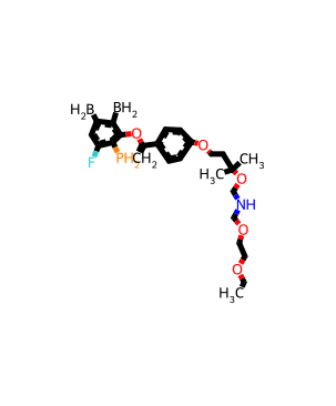 Bc1cc(F)c(P)c(OC(=C)c2ccc(OCCC(C)(C)OCNCOCCOCC)cc2)c1B